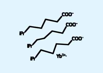 CC(C)CCCCC(=O)[O-].CC(C)CCCCC(=O)[O-].CC(C)CCCCC(=O)[O-].[Yb+3]